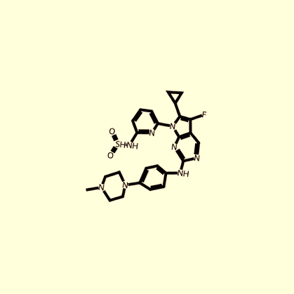 CN1CCN(c2ccc(Nc3ncc4c(F)c(C5CC5)n(-c5cccc(N[SH](=O)=O)n5)c4n3)cc2)CC1